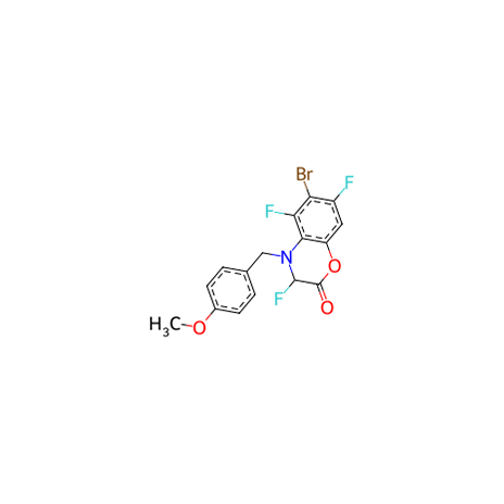 COc1ccc(CN2c3c(cc(F)c(Br)c3F)OC(=O)C2F)cc1